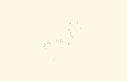 Cc1nc(-c2ccc(F)cc2)c(-c2ccc3nc(NC(=O)c4cccc5cccnc45)cn3n2)n1C